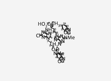 CNC(=O)OCCCCn1cnc2c(N)nc(Cl)nc21.CNc1nc(N)c2ncn(CCCCN(C)C(=O)O)c2n1.c1cc2cc3c1oon2-3.c1cc2cc3c1oon2-3